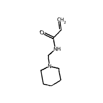 C=CC(=O)NCN1CCCCC1